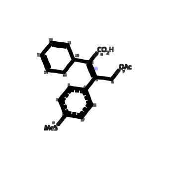 CSc1ccc(/C(COC(C)=O)=C(/C(=O)O)C2C=CC=CC2)cc1